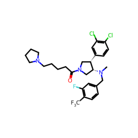 CN(Cc1ccc(C(F)(F)F)c(F)c1)[C@@H]1CN(C(=O)CCCCN2CCCC2)C[C@@H]1c1ccc(Cl)c(Cl)c1